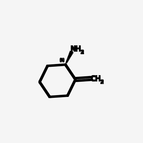 C=C1CCCC[C@@H]1N